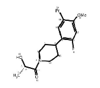 COc1cc(F)c(C2CCN(C(=O)[C@H](C)O)CC2)cc1C(C)C